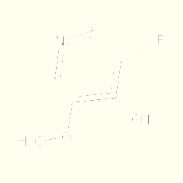 COc1cncc(F)c1C